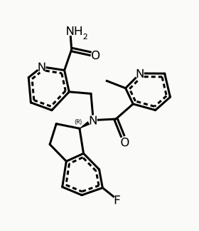 Cc1ncccc1C(=O)N(Cc1cccnc1C(N)=O)[C@@H]1CCc2ccc(F)cc21